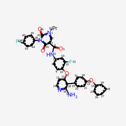 CC(C)n1cc(C(=O)Nc2ccc(Oc3ccnc(N)c3-c3ccc(Oc4ccccc4)cc3)c(F)c2)c(=O)n(-c2ccc(F)cc2)c1=O